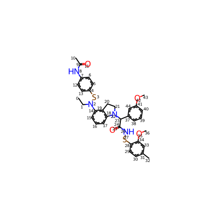 CCN(Sc1ccc(NC(C)=O)cc1)c1cccc2c1CCN2C(C(=O)NSc1ccc(C)cc1OC)c1cccc(OC)c1